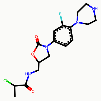 CC(Cl)C(=O)NCC1CN(c2ccc(N3CCNCC3)c(F)c2)C(=O)O1